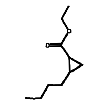 CCCCC1CC1C(=O)OCC